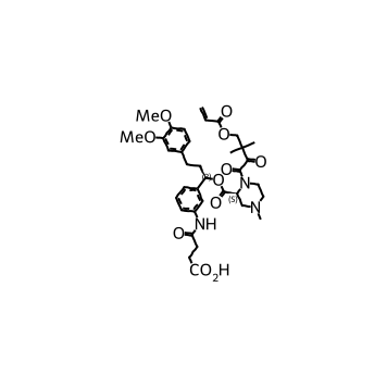 C=CC(=O)OCC(C)(C)C(=O)C(=O)N1CCN(C)C[C@H]1C(=O)O[C@H](CCc1ccc(OC)c(OC)c1)c1cccc(NC(=O)CCC(=O)O)c1